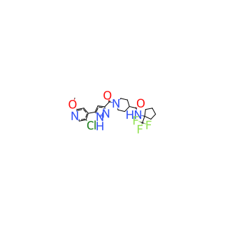 COc1cc(-c2cc(C(=O)N3CCC(C(=O)NC4(C(F)(F)F)CCCC4)CC3)n[nH]2)c(Cl)cn1